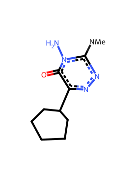 CNc1nnc(C2CCCCC2)c(=O)n1N